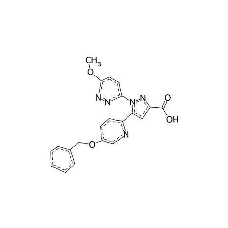 COc1ccc(-n2nc(C(=O)O)cc2-c2ccc(OCc3ccccc3)cn2)nn1